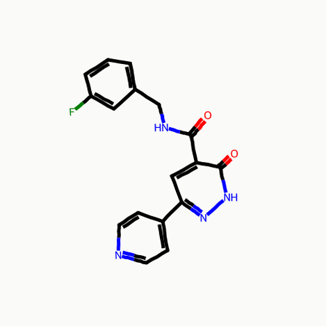 O=C(NCc1cccc(F)c1)c1cc(-c2ccncc2)n[nH]c1=O